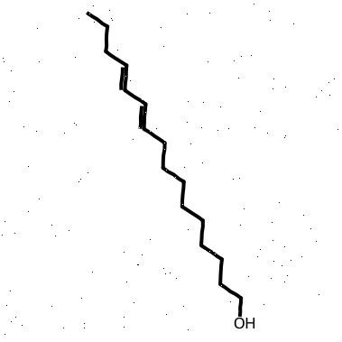 CCCC=CC=CCCCCCCCCCO